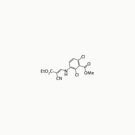 CCOC(=O)C(C#N)=CNc1ccc(Cl)c(C(=O)OC)c1Cl